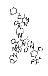 Cc1ncnc(C(=O)N2CCN(c3c4n(c5nc(N6CCOCC6)nn5c3=O)C(C(=O)Nc3ccc(C(F)(F)F)cc3Cl)CC4C)CC2)c1OCc1ccccc1